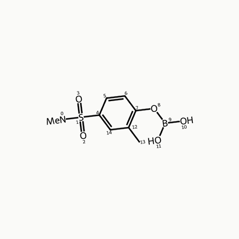 CNS(=O)(=O)c1ccc(OB(O)O)c(C)c1